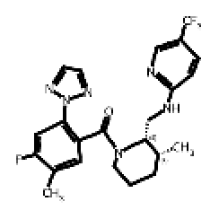 Cc1cc(C(=O)N2CCC[C@@H](C)[C@H]2CNc2ccc(C(F)(F)F)cn2)c(-n2nccn2)cc1F